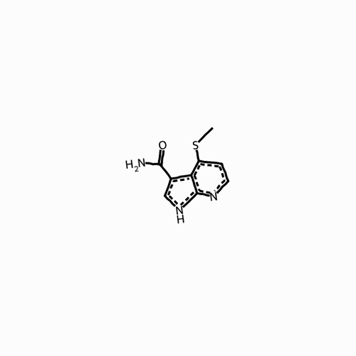 CSc1ccnc2[nH]cc(C(N)=O)c12